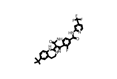 CC(C)(C)c1ccc2c(c1)CCn1nc(-c3ccc(C(=O)Nc4cc(C(F)(F)F)ccn4)cc3F)c(C(N)=O)c1N2